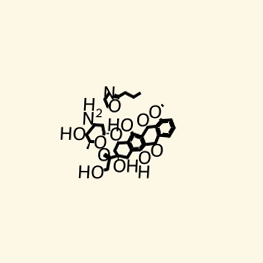 CCCC1=NCCO1.COc1cccc2c1C(=O)c1c(O)c3c(c(O)c1C2=O)C[C@@](O)(C(=O)CO)C[C@@H]3O[C@H]1C[C@H](N)[C@H](O)[C@H](C)O1